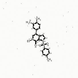 CCn1cc(-c2ccc(C)c(C)c2)c2ccn(S(=O)(=O)c3ccc(C)cc3)c2c1=O